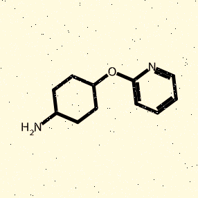 NC1CCC(Oc2ccccn2)CC1